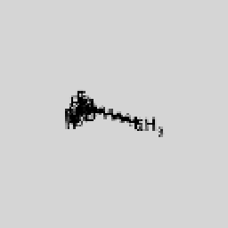 CCCCCCCCCCCCS(=O)(=O)c1nc(C(F)(F)F)oc1C(F)(F)F